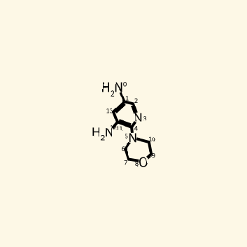 Nc1cnc(N2CCOCC2)c(N)c1